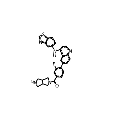 O=C(c1ccc(-c2ccc3nccc(Nc4ccc5scnc5c4)c3c2)c(F)c1)N1CC2CNCC2C1